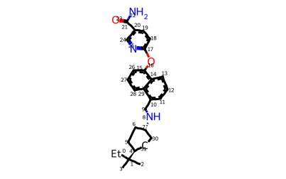 CCC(C)(C)[C@H]1CC[C@H](NCc2cccc3c(Oc4ccc(C(N)=O)cn4)cccc23)CC1